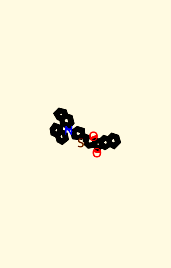 O=C1C(=Cc2cc3ccc(N(c4ccc5ccccc5c4)c4cccc5ccccc45)cc3s2)C(=O)c2cc3ccccc3cc21